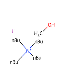 CCCC[N+](CCCC)(CCCC)CCCC.CO.[I-]